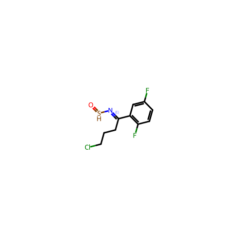 O=[SH]/N=C(\CCCCl)c1cc(F)ccc1F